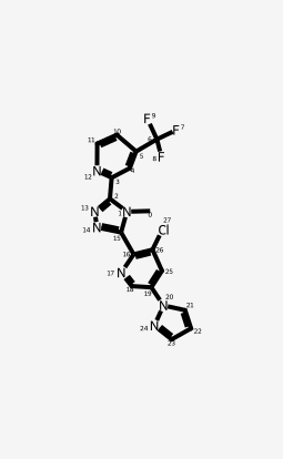 Cn1c(-c2cc(C(F)(F)F)ccn2)nnc1-c1ncc(-n2cccn2)cc1Cl